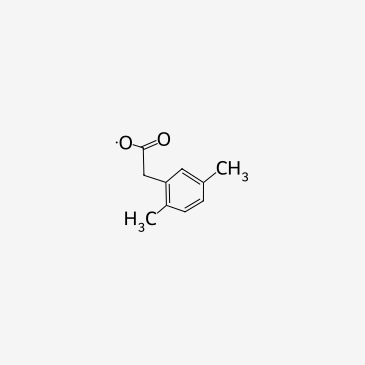 Cc1ccc(C)c(CC([O])=O)c1